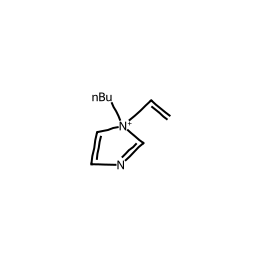 C=C[N+]1(CCCC)C=CN=C1